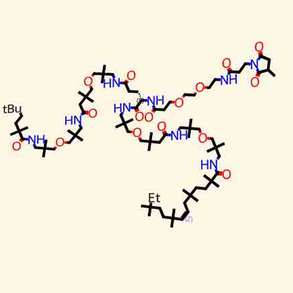 CCC(C)(C)CCC(C)(C)/C=C\CC(C)(C)CCC(C)(C)C(=O)NCC(C)(C)COCC(C)(C)CNC(=O)CC(C)(C)COCC(C)(C)CNC(=O)[C@H](CCC(=O)NCC(C)(C)COCC(C)(C)CC(=O)NCC(C)(C)COCC(C)(C)CNC(=O)C(C)(C)CCC(C)(C)C)NC(=O)CCOCCOCCNC(=O)CCN1C(=O)CC(C)C1=O